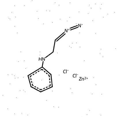 [Cl-].[Cl-].[N-]=[N+]=CCNc1ccccc1.[Zn+2]